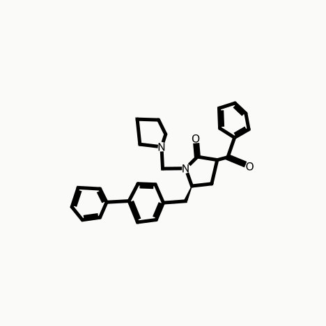 O=C(c1ccccc1)C1C[C@@H](Cc2ccc(-c3ccccc3)cc2)N(CN2CCCC2)C1=O